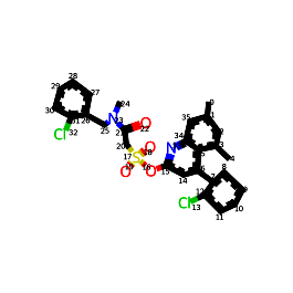 Cc1cc(C)c2c(-c3ccccc3Cl)cc(OS(=O)(=O)CC(=O)N(C)Cc3ccccc3Cl)nc2c1